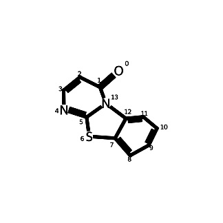 O=c1ccnc2sc3ccccc3n12